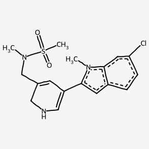 CN(CC1=CC(c2cc3ccc(Cl)cc3n2C)=CNC1)S(C)(=O)=O